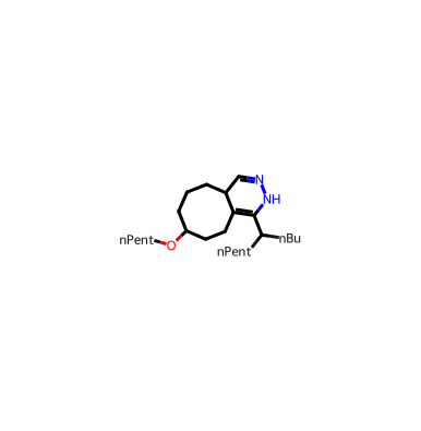 CCCCCOC1CCCC2C=NNC(C(CCCC)CCCCC)=C2CC1